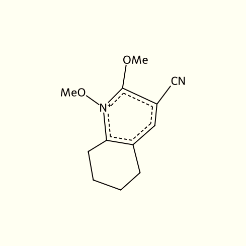 COc1c(C#N)cc2c([n+]1OC)CCCC2